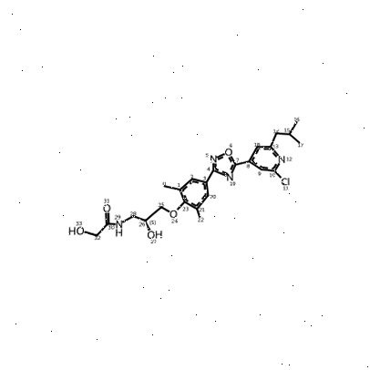 Cc1cc(-c2noc(-c3cc(Cl)nc(CC(C)C)c3)n2)cc(C)c1OC[C@@H](O)CNC(=O)CO